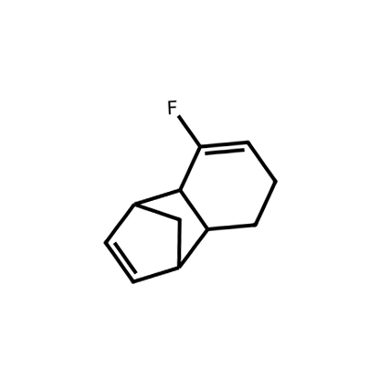 FC1=CCCC2C3C=CC(C3)C12